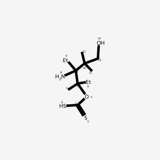 CCC(C)(OC(=S)S)C(N)(CC)C(C)(C)CO